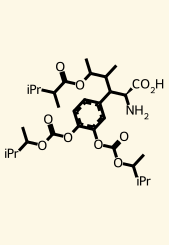 CC(C)C(C)OC(=O)Oc1ccc(C(C(C)C(C)OC(=O)C(C)C(C)C)[C@H](N)C(=O)O)cc1OC(=O)OC(C)C(C)C